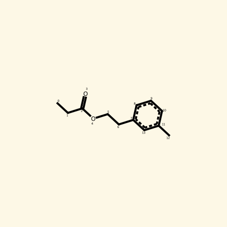 CCC(=O)OCCc1cccc(C)c1